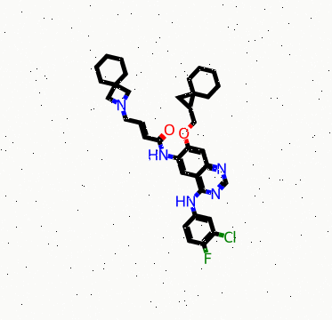 O=C(/C=C/CN1CC2(CCCCC2)C1)Nc1cc2c(Nc3ccc(F)c(Cl)c3)ncnc2cc1OCC1CC12CCCCC2